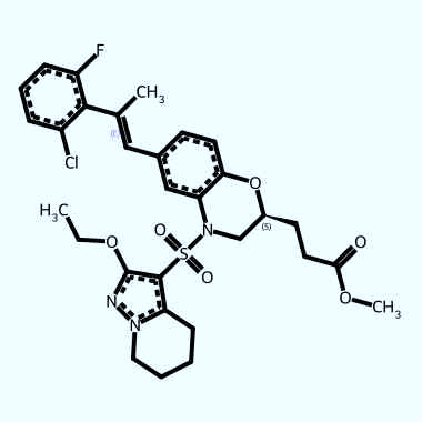 CCOc1nn2c(c1S(=O)(=O)N1C[C@H](CCC(=O)OC)Oc3ccc(/C=C(\C)c4c(F)cccc4Cl)cc31)CCCC2